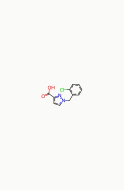 O=C(O)c1ccn(Cc2ccccc2Cl)n1